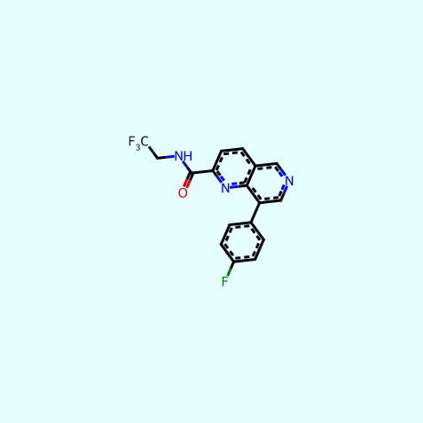 O=C(NCC(F)(F)F)c1ccc2cncc(-c3ccc(F)cc3)c2n1